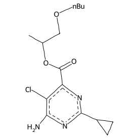 CCCCOCC(C)OC(=O)c1nc(C2CC2)nc(N)c1Cl